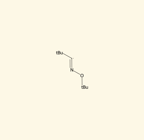 CC(C)(C)/[C]=N/OC(C)(C)C